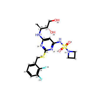 C[C@H](Nc1cc(NS(=O)(=O)N2CCC2)nc(SCc2cccc(F)c2F)n1)[C@@H](O)CO